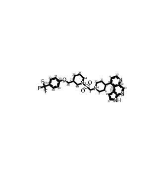 O=S(=O)(CN1CCC(c2ccnc3cnc4[nH]ccc4c23)CC1)N1CCCC(COc2ccc(C(F)(F)F)cc2)C1